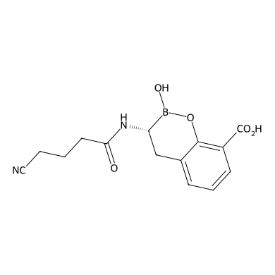 N#CCCCC(=O)N[C@H]1Cc2cccc(C(=O)O)c2OB1O